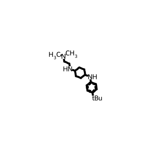 CN(C)CCNC1CCC(Nc2ccc(C(C)(C)C)cc2)CC1